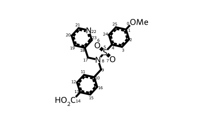 COc1ccc(S(=O)(=O)N(Cc2ccc(C(=O)O)cc2)Cc2cccnc2)cc1